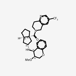 CO[C@@H]1COc2ccccc2[C@@H]1N[C@@H]1C[C@H]2CCC[C@@]2(C(=O)N2CCc3ncc(C(F)(F)F)cc3C2)C1